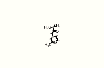 CC1CN(CC(=O)N(C)C)CCO1